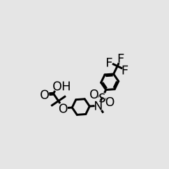 CN(C1CCC(OC(C)(C)C(=O)O)CC1)S(=O)(=O)c1ccc(C(F)(F)F)cc1